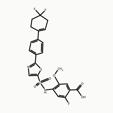 COc1cc(C(=O)O)c(F)cc1NS(=O)(=O)c1cnc(-c2ccc(C3=CCC(F)(F)CC3)cc2)s1